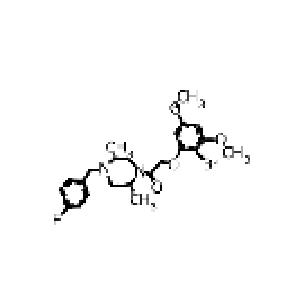 COc1cc(OC)c(Br)c(OCC(=O)N2C[C@@H](C)N(Cc3ccc(F)cc3)C[C@@H]2C)c1